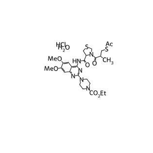 CCOC(=O)N1CCN(c2nc(NC(=O)C3CSCN3C(=O)C(C)CSC(C)=O)c3cc(OC)c(OC)cc3n2)CC1.Cl.O